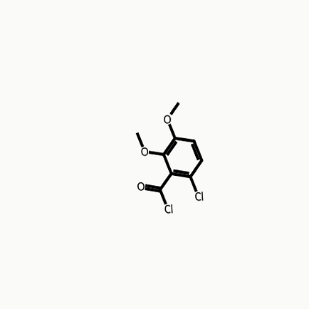 COc1ccc(Cl)c(C(=O)Cl)c1OC